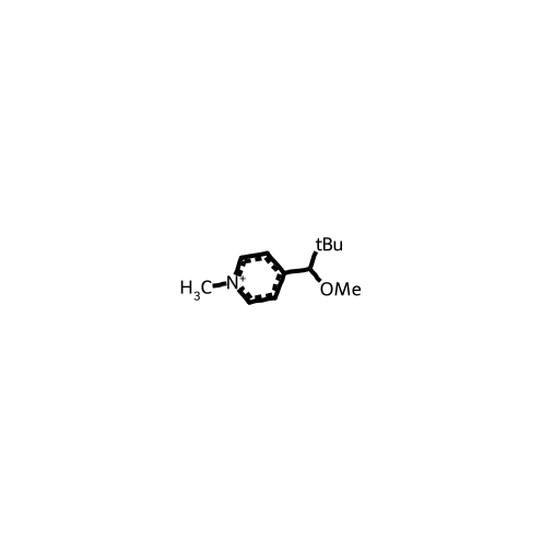 COC(c1cc[n+](C)cc1)C(C)(C)C